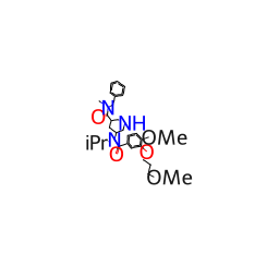 COCCCOc1cc(C(=O)N(C(C)C)C2CNCC(C(=O)N(C)Cc3ccccc3)C2)ccc1OC